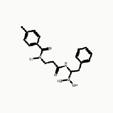 CCN(CCC(=O)NC(Cc1ccccc1)B(O)O)C(=O)c1ccc(C)cc1